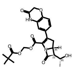 C[C@@H](O)[C@H]1C(=O)N2C(C(=O)OCOC(=O)C(C)(C)C)=C(c3ccc4c(c3)NC(=O)CO4)C[C@H]12